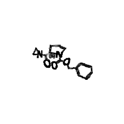 O=C([C@@H]1CCCN1C(=O)OCc1ccccc1)N1CC1